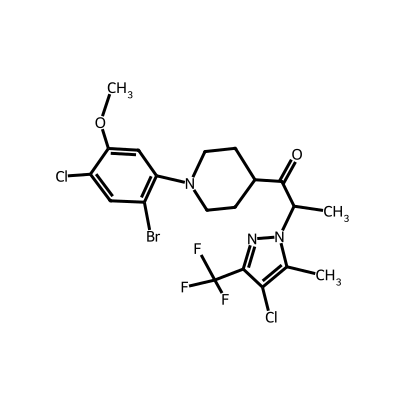 COc1cc(N2CCC(C(=O)C(C)n3nc(C(F)(F)F)c(Cl)c3C)CC2)c(Br)cc1Cl